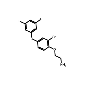 NCCOc1ccc(Oc2cc(F)cc(F)c2)cc1Br